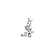 CCC1(C(=O)O)CC1c1cccc(Nc2nc3c(c(=O)n(Cc4ccc(Cl)c(Cl)c4)c(=O)n3C)n2C)n1